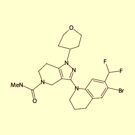 CNC(=O)N1CCc2c(c(N3CCCc4cc(Br)c(C(F)F)cc43)nn2C2CCOCC2)C1